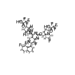 CCc1c(F)ccc2cccc(-c3ncc4c(N5C[C@H]6CC[C@@H](C5)N6)nc(OCC56CCCN5CC(F)C6)nc4c3F)c12.O=C(O)C(F)(F)F.O=C(O)C(F)(F)F